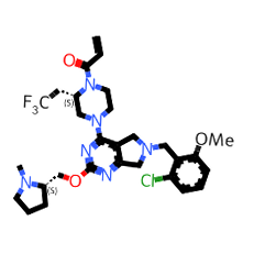 C=CC(=O)N1CCN(c2nc(OC[C@@H]3CCCN3C)nc3c2CN(Cc2c(Cl)cccc2OC)C3)C[C@@H]1CC(F)(F)F